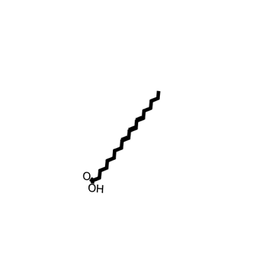 CCCCC/C=C/C=C/C=C/CCCCCCCC(=O)O